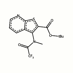 CN(C(=O)C(F)(F)F)c1c(C(=O)OC(C)(C)C)sc2ncccc12